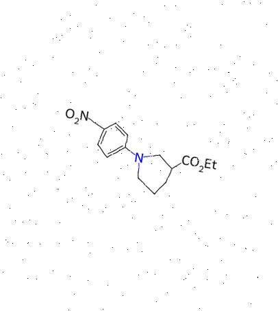 CCOC(=O)C1CCCN(c2ccc([N+](=O)[O-])cc2)C1